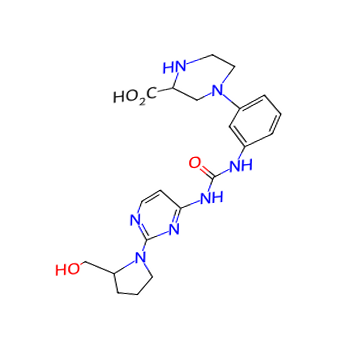 O=C(Nc1cccc(N2CCNC(C(=O)O)C2)c1)Nc1ccnc(N2CCCC2CO)n1